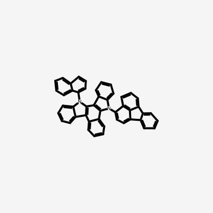 c1ccc2c(c1)-c1cccc3c(-n4c5ccccc5c5c4c4ccccc4c4c6ccccc6n(-c6cccc7ccccc67)c45)ccc-2c13